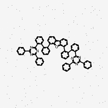 c1ccc(-c2nc(-c3ccccc3)nc(-c3ccccc3-c3ccccc3-c3cccc4c3oc3c(-c5ccccc5-c5ccccc5-c5nc(-c6ccccc6)nc(-c6ccccc6)n5)cccc34)n2)cc1